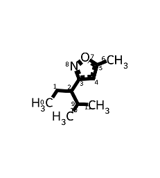 CCC(c1cc(C)on1)C(C)C